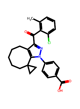 Cc1cccc(Cl)c1C(=O)c1nn(-c2ccc(C(=O)O)cc2)c2c1CCCCCC21CC1